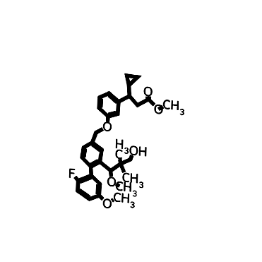 COC(=O)CC(c1cccc(OCc2ccc(-c3cc(OC)ccc3F)c(C(OC)C(C)(C)CO)c2)c1)C1CC1